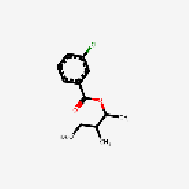 CC(C)COCC(C)C(C)OC(=O)c1cccc(Cl)c1